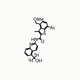 [2H]C([2H])(O)c1cccc2nc(NC(=O)c3sc4c(C(C)=O)ccc(COC)c4c3C)ccc12